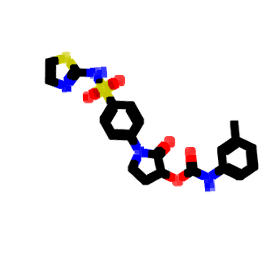 Cc1cccc(NC(=O)OC2CCN(c3ccc(S(=O)(=O)Nc4nccs4)cc3)C2=O)c1